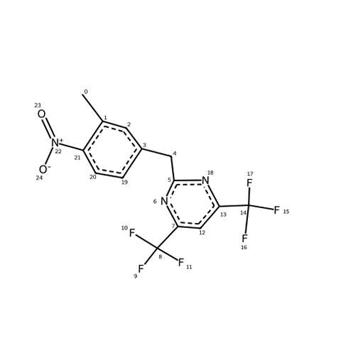 Cc1cc(Cc2nc(C(F)(F)F)cc(C(F)(F)F)n2)ccc1[N+](=O)[O-]